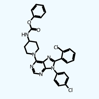 O=C(NC1CCN(c2ncnc3c2nc(-c2ccccc2Cl)n3-c2ccc(Cl)cc2)CC1)Oc1ccccc1